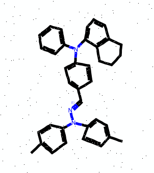 Cc1ccc(N(/N=C/c2ccc(N(c3ccccc3)c3cccc4c3CCCC4)cc2)c2ccc(C)cc2)cc1